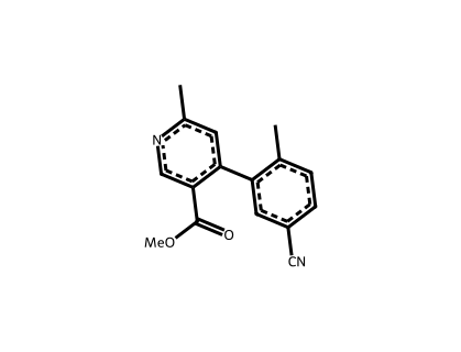 COC(=O)c1cnc(C)cc1-c1cc(C#N)ccc1C